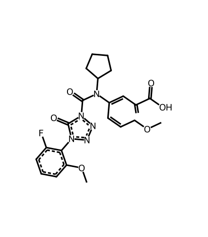 C=C(/C=C(\C=C/COC)N(C(=O)n1nnn(-c2c(F)cccc2OC)c1=O)C1CCCC1)C(=O)O